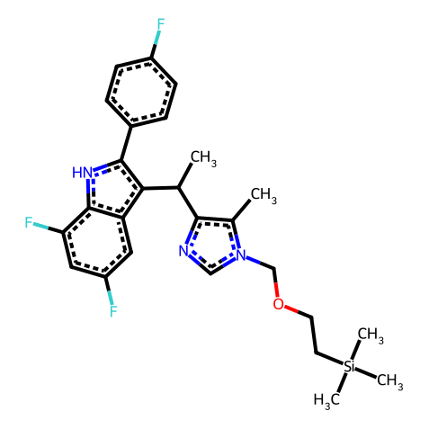 Cc1c(C(C)c2c(-c3ccc(F)cc3)[nH]c3c(F)cc(F)cc23)ncn1COCC[Si](C)(C)C